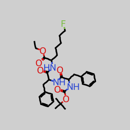 CCOC(=O)C(CCCCCF)NC(=O)C(Cc1ccccc1)NC(=O)C(Cc1ccccc1)NC(=O)OC(C)(C)C